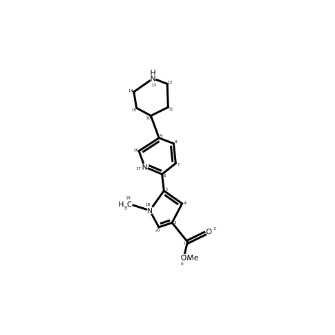 COC(=O)c1cc(-c2ccc(C3CCNCC3)cn2)n(C)c1